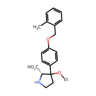 CCOC1(c2ccc(OCc3ccccc3C)cc2)CCN[C@@H]1C(=O)O